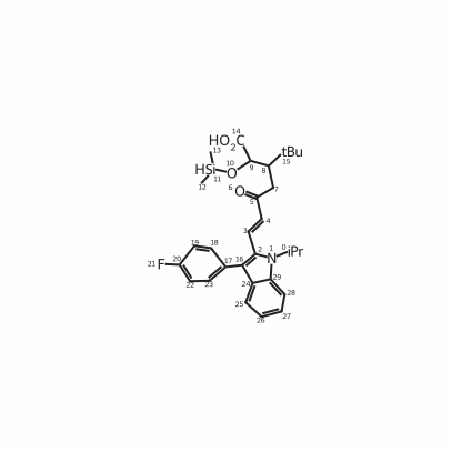 CC(C)n1c(C=CC(=O)CC(C(O[SiH](C)C)C(=O)O)C(C)(C)C)c(-c2ccc(F)cc2)c2ccccc21